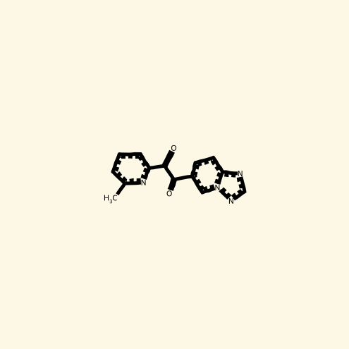 Cc1cccc(C(=O)C(=O)c2ccc3ncnn3c2)n1